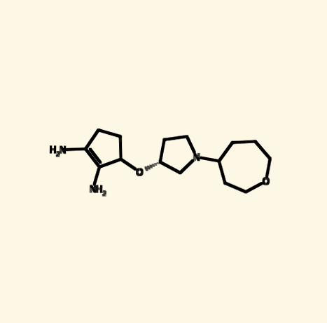 NC1=C(N)C(O[C@@H]2CCN(C3CCCOCC3)C2)CC1